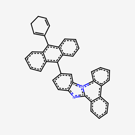 C1=CC(c2c3ccccc3c(-c3ccc4nc5c6ccccc6c6ccccc6n5c4c3)c3ccccc23)=CCC1